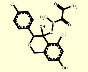 CC(=O)C(=O)N(C)OC1(O)c2c(O)cc(O)cc2COC1c1ccc(Cl)cc1